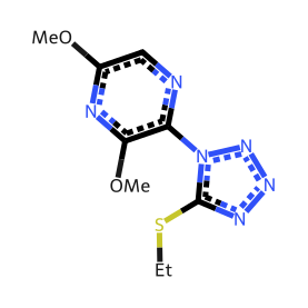 CCSc1nnnn1-c1ncc(OC)nc1OC